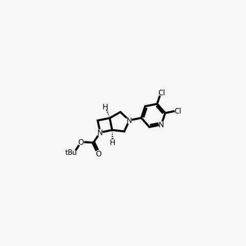 CC(C)(C)OC(=O)N1C[C@H]2CN(c3cnc(Cl)c(Cl)c3)C[C@H]21